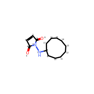 O=C1C=CC(=O)N1NC1CCCCCCCCC1